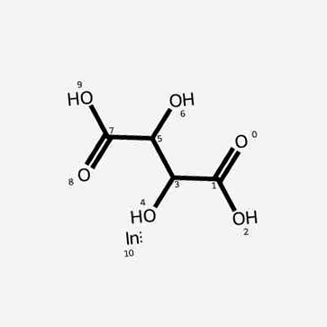 O=C(O)C(O)C(O)C(=O)O.[In]